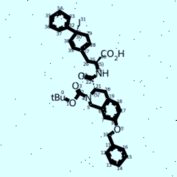 CC(C)(C)OC(=O)N1Cc2cc(OCc3ccccc3)ccc2C[C@H]1C(=O)N[C@@H](CC1=CC[C@](I)(c2ccccc2)C=C1)C(=O)O